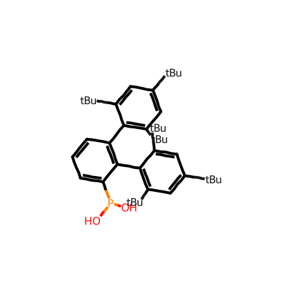 CC(C)(C)c1cc(C(C)(C)C)c(-c2cccc(P(O)O)c2-c2c(C(C)(C)C)cc(C(C)(C)C)cc2C(C)(C)C)c(C(C)(C)C)c1